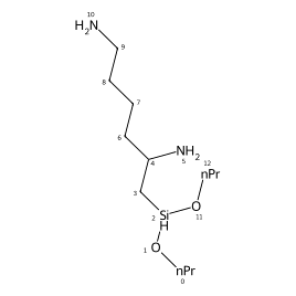 CCCO[SiH](CC(N)CCCCN)OCCC